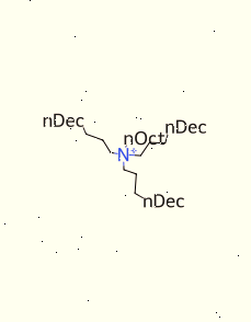 CCCCCCCCCCCCC[N+](CCCCCCCC)(CCCCCCCCCCCCC)CCCCCCCCCCCCC